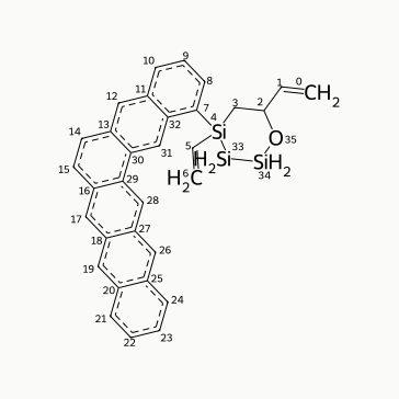 C=CC1C[Si](C=C)(c2cccc3cc4ccc5cc6cc7ccccc7cc6cc5c4cc23)[SiH2][SiH2]O1